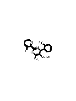 CCOC(=O)C1=C(C)NC(c2ncccc2F)=NC1c1ccccc1C(F)(F)F